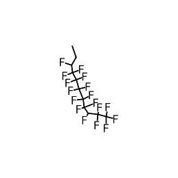 CCC(F)C(F)(F)C(F)(F)C(F)(F)C(F)(F)C(F)(F)C(F)C(F)(F)C(F)(F)F